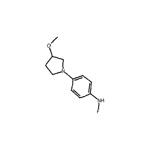 COC1CCN(c2ccc(NF)cc2)C1